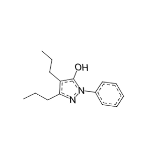 CCCc1nn(-c2ccccc2)c(O)c1CCC